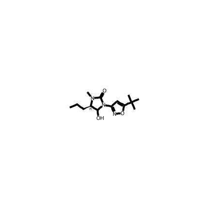 CCC[C@@H]1C(O)N(c2cc(C(C)(C)C)on2)C(=O)N1C